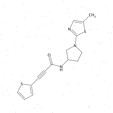 Cc1cnc(N2CCC(NC(=O)C#Cc3cccs3)C2)s1